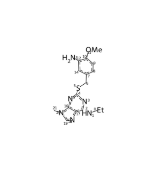 CCNc1nc(SCc2ccc(OC)c(N)c2)nc2c1ncn2C